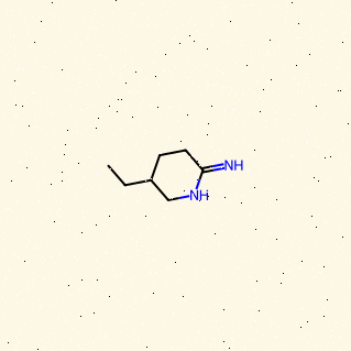 CCC1CCC(=N)NC1